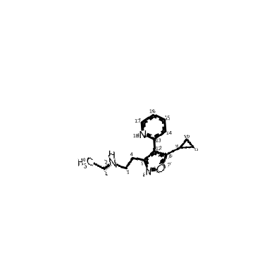 CCNCCc1noc(C2CC2)c1-c1ccccn1